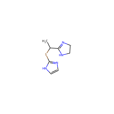 CC(Sc1ncc[nH]1)C1=N[CH]CN1